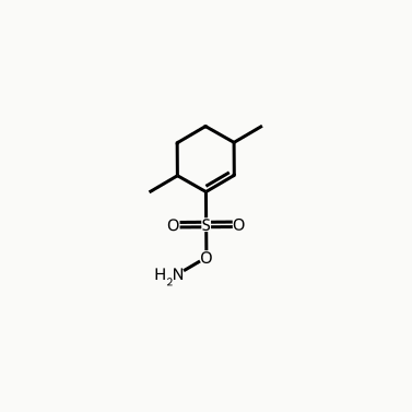 CC1C=C(S(=O)(=O)ON)C(C)CC1